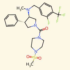 CN(Cc1ccc(C(F)(F)F)c(F)c1)[C@H]1CN(C(=O)N2CCN(S(C)(=O)=O)CC2)C[C@@H]1c1ccccc1